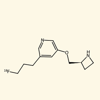 [18F]CCCc1cncc(OC[C@@H]2CCN2)c1